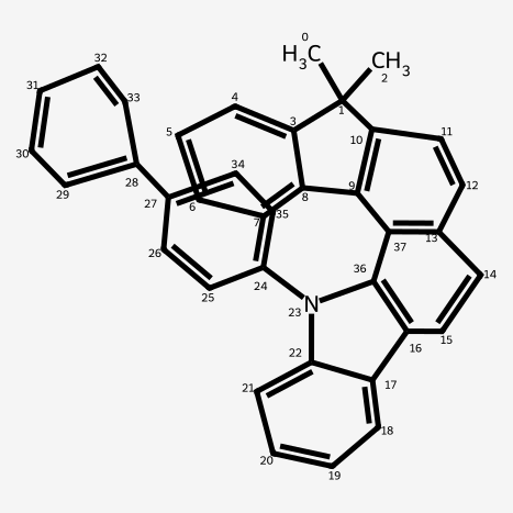 CC1(C)c2ccccc2-c2c1ccc1ccc3c4ccccc4n(-c4ccc(-c5ccccc5)cc4)c3c21